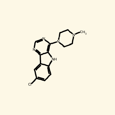 CN1CCN(c2ncnc3c2[nH]c2ccc(Cl)cc23)CC1